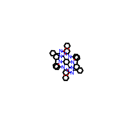 c1ccc(-c2nc(-c3ccccc3)nc(-c3c(N(c4ccccc4)c4ccccc4)c(-n4c5ccccc5c5ccccc54)c(-c4nc(-c5ccccc5)nc(-c5ccccc5)n4)c(N(c4ccccc4)c4ccccc4)c3-n3c4ccccc4c4ccccc43)n2)cc1